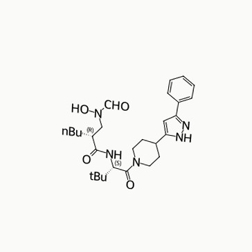 CCCC[C@H](CN(O)C=O)C(=O)N[C@H](C(=O)N1CCC(c2cc(-c3ccccc3)n[nH]2)CC1)C(C)(C)C